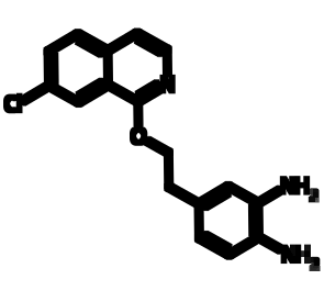 Nc1ccc(CCOc2nccc3ccc(Cl)cc23)cc1N